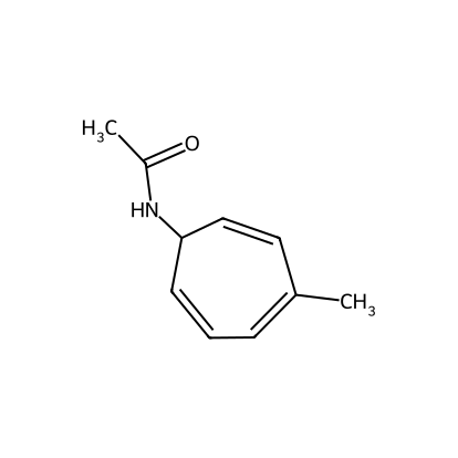 CC(=O)NC1C=CC=C(C)C=C1